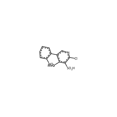 COc1c(-c2ccccc2[N+](=O)[O-])cnc(Cl)c1S(=O)(=O)O